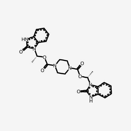 C[C@@H](OC(=O)N1CCN(C(=O)O[C@H](C)n2c(=O)[nH]c3ccccc32)CC1)n1c(=O)[nH]c2ccccc21